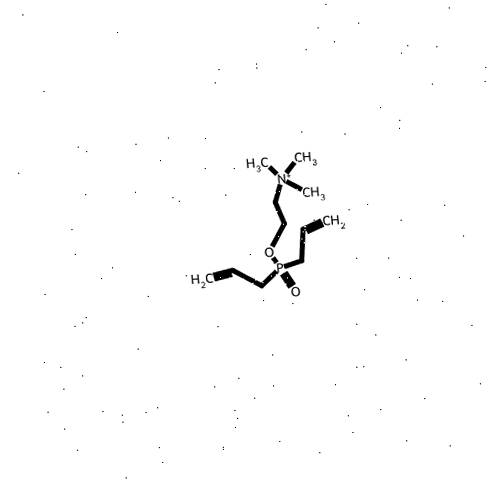 C=CCP(=O)(CC=C)OCC[N+](C)(C)C